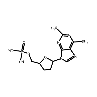 Nc1nc(N)c2ncn(C3CCC(COP(=O)(O)O)O3)c2n1